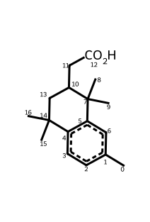 Cc1ccc2c(c1)C(C)(C)C(CC(=O)O)CC2(C)C